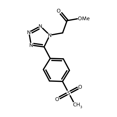 COC(=O)Cn1nnnc1-c1ccc(S(C)(=O)=O)cc1